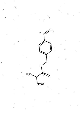 C=Cc1ccc(CSC(=O)C(C)CCCCC)cc1